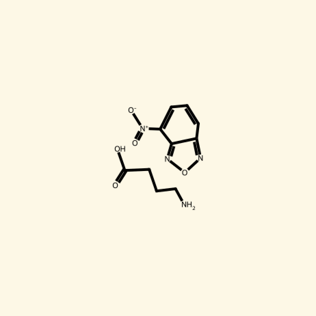 NCCCC(=O)O.O=[N+]([O-])c1cccc2nonc12